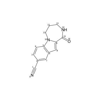 N#Cc1ccc2c(c1)cc1n2CCCNC1=O